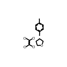 C1CCOC1.Cc1ccc(C)cc1.ClC(Cl)=C(Cl)Cl